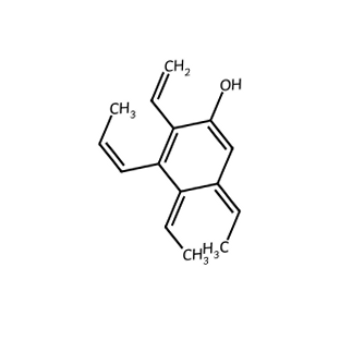 C=Cc1c(O)cc(=C/C)/c(=C\C)c1/C=C\C